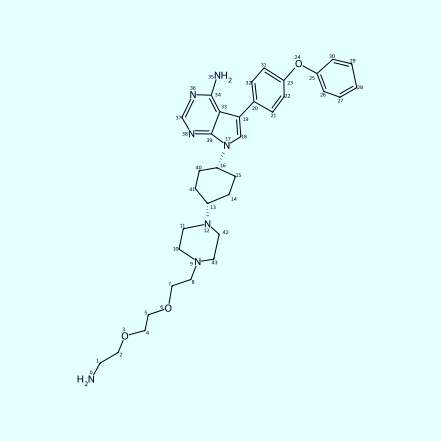 NCCOCCOCCN1CCN([C@H]2CC[C@@H](n3cc(-c4ccc(Oc5ccccc5)cc4)c4c(N)ncnc43)CC2)CC1